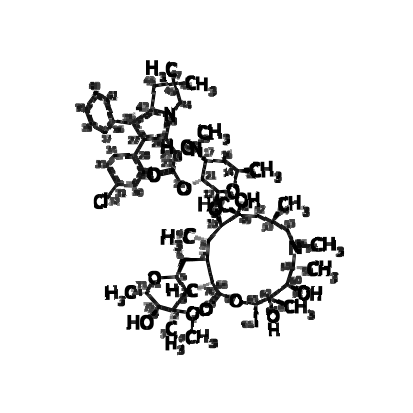 CO[C@]1(C)C[C@H](C[C@H]2[C@H](C)[C@@H](O[C@@H]3O[C@H](C)C[C@H](N(C)C)[C@H]3OC(=O)Cc3c(-c4ccc(Cl)cc4)c(-c4ccccc4)c4n3CC(C)(C)C4)[C@](C)(O)C[C@@H](C)CN(C)[C@H](C)[C@@H](O)[C@](C)(O)[C@@H](I)OC(=O)[C@@H]2C)O[C@@H](C)[C@@H]1O